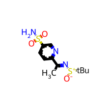 CC(=N[S+]([O-])C(C)(C)C)c1ccc(S(N)(=O)=O)cn1